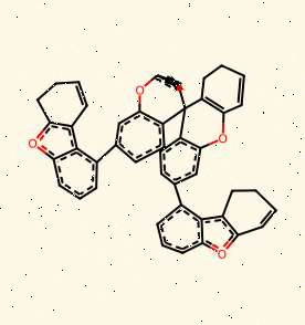 C1=CC2=C(CC1)C1(c3ccc(-c4cccc5oc6c(c45)CCC=C6)cc3O2)c2ccccc2Oc2cc(-c3cccc4oc5c(c34)C=CCC5)ccc21